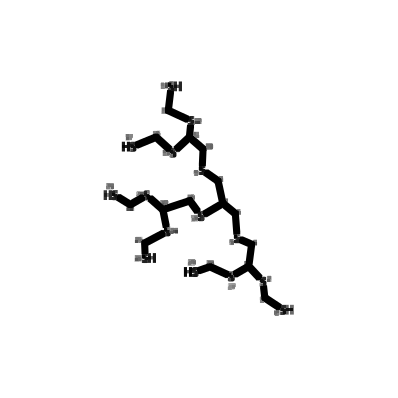 SCSC(CSCC(CSCC(SCS)SCS)SCC(SCS)SCS)SCS